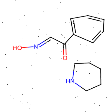 C1CCNCC1.O=C(C=NO)c1ccccc1